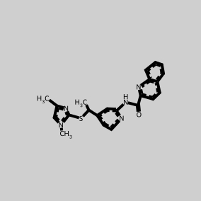 Cc1cn(C)c(SC(C)c2ccnc(NC(=O)c3ccc4ccccc4n3)c2)n1